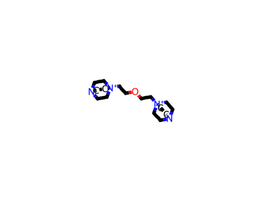 C(C[N+]12CCN(CC1)CC2)OCC[N+]12CCN(CC1)CC2